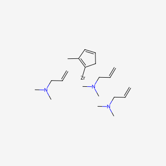 C=CCN(C)C.C=CCN(C)C.C=CCN(C)C.CC1=[C]([Zr])CC=C1